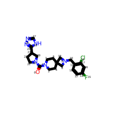 O=C(N1CCC2(CC1)CN(Cc1ccc(F)cc1Cl)C2)N1CCC(c2nnc[nH]2)C1